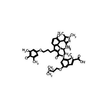 Cc1cc(OCCCc2c3n(c4c(-c5c(C)nn(C)c5C)c(Cl)ccc24)C(C)CN(c2cc(OCCN(C)C)cc4cc(C(=O)O)n(C)c24)C3=O)cc(C)c1Cl